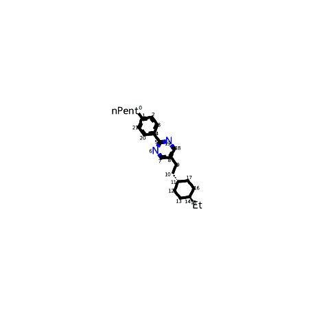 CCCCCc1ccc(-c2ncc(CC[C@H]3CC[C@H](CC)CC3)cn2)cc1